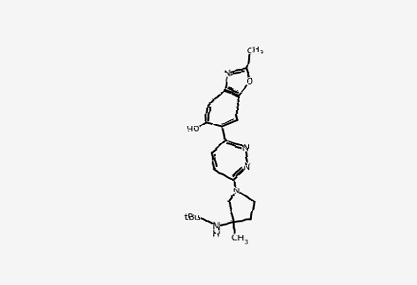 Cc1nc2cc(O)c(-c3ccc(N4CCC(C)(NC(C)(C)C)C4)nn3)cc2o1